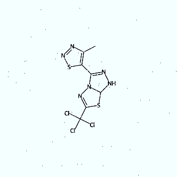 Cc1nnsc1C1=NNC2SC(C(Cl)(Cl)Cl)=NN12